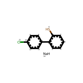 Sc1ccccc1-c1ccc(Cl)cc1.[NaH]